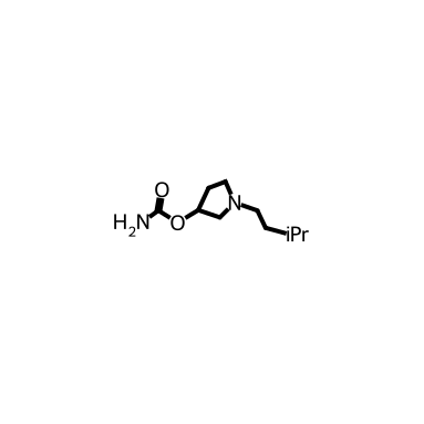 CC(C)CCN1CCC(OC(N)=O)C1